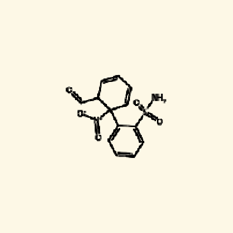 NS(=O)(=O)c1ccccc1C1([N+](=O)[O-])C=CC=CC1[C]=O